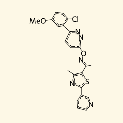 COc1ccc(Cl)c(-c2ccc(O/N=C(\C)c3sc(-c4cccnc4)nc3C)nn2)c1